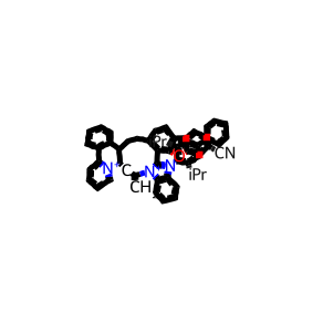 C=C1CC2C(CCc3ccc4c(oc5cc(C#N)ccc54)c3-c3n(-c4c(C(C)C)cc(-c5ccccc5)cc4C(C)C)c4ccccc4[n+]31)c1ccccc1-c1cccc[n+]12